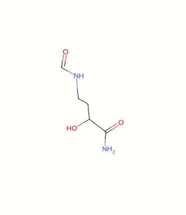 NC(=O)C(O)CCNC=O